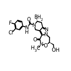 B[C@@H]1Cc2nn3c(c2CN1C(=O)Nc1ccc(F)c(Cl)c1)C(=O)N(C)O[C@H](CO)C3